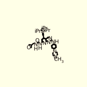 CC(C)[Si](C#Cc1cc(NC(=O)NCC2COC2)nc2nc(Nc3ccc(N4CCN(C)CC4)cc3)ncc12)(C(C)C)C(C)C